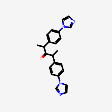 CC(C(=O)C(C)c1ccc(-n2ccnc2)cc1)c1ccc(-n2ccnc2)cc1